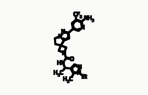 CCn1ncc(C(C)NC(=O)N2CC3(CCn4nc(-c5cnc(N)c(C(F)(F)F)c5)cc43)C2)c1C